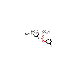 COCCC(CC(=O)Oc1cccc(C)c1)=C(CC(=O)O)C(=O)O